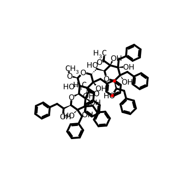 CO[C@H]1O[C@H](C(O)[C@@H]2O[C@H](C(O)Cc3ccccc3)[C@](O)(Cc3ccccc3)[C@@](O)(Cc3ccccc3)[C@@]2(O)C(C)=O)[C@](O)(Cc2ccccc2)[C@@](O)(Cc2ccccc2)[C@@]1(O)[C@@H]1O[C@H](C(O)Cc2ccccc2)[C@](O)(Cc2ccccc2)[C@@](O)(Cc2ccccc2)[C@@]1(O)C(C)=O